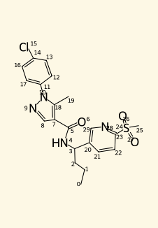 CCCC(NC(=O)c1cnn(-c2ccc(Cl)cc2)c1C)c1ccc(S(C)(=O)=O)nc1